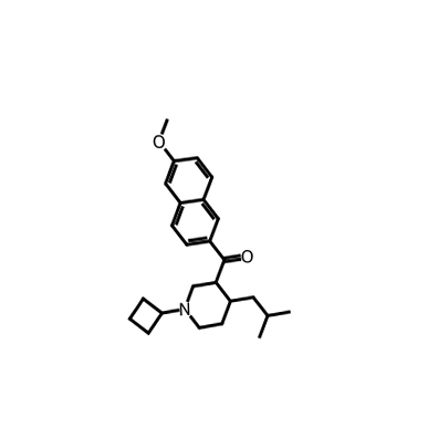 COc1ccc2cc(C(=O)C3CN(C4CCC4)CCC3CC(C)C)ccc2c1